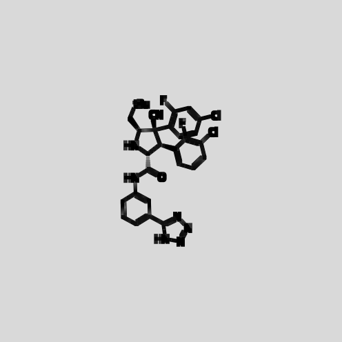 CC(C)(C)C[C@@H]1N[C@@H](C(=O)Nc2cccc(-c3nnn[nH]3)c2)[C@H](c2cccc(Cl)c2F)[C@@]1(C#N)c1ccc(Cl)cc1F